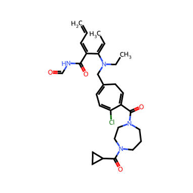 C=C/C=C(C(=O)NC=O)\C(=C/C)N(CC)CC1=CC=C(Cl)C(C(=O)N2CCCN(C(=O)C3CC3)CC2)=CC1